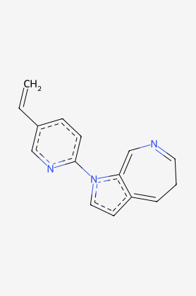 C=Cc1ccc(-n2ccc3c2=CN=CCC=3)nc1